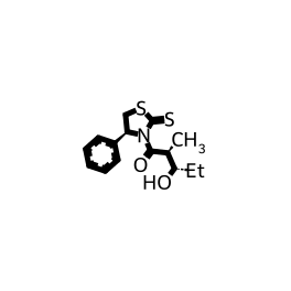 CC[C@H](O)[C@@H](C)C(=O)N1C(=S)SC[C@@H]1c1ccccc1